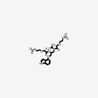 CC(C)N(CC(COc1cccc2[nH]ccc12)OC(=O)COCCO[N+](=O)[O-])C(=O)COCCO[N+](=O)[O-]